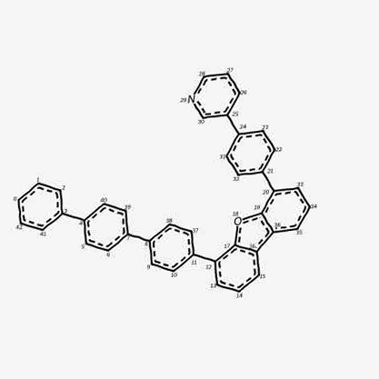 c1ccc(-c2ccc(-c3ccc(-c4cccc5c4oc4c(-c6ccc(-c7cccnc7)cc6)cccc45)cc3)cc2)cc1